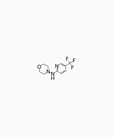 FC(F)(F)c1ccc(NN2CCOCC2)nc1